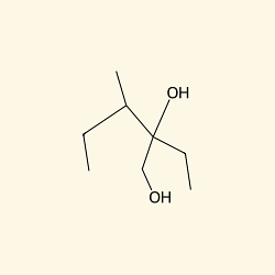 CCC(C)C(O)(CC)CO